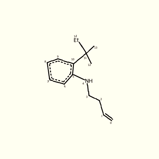 C=CCCNc1ccccc1C(C)(C)CC